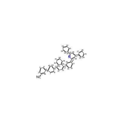 N#Cc1cccc(-c2ccc(-c3ccc(-c4cccc(-c5cc(-c6ccccc6)cc(-c6ccccc6)n5)c4)c4ccccc34)cc2)c1